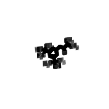 C=C(C)C(=O)Cc1cc(C(C)(O)C(F)(F)F)cc(C(C)(O)C(F)(F)F)c1